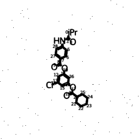 CC(C)C(=O)Nc1ccc(C(=O)Oc2cc(Cl)cc(OC(=O)C3CCCCC3)c2)cc1